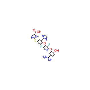 CN1CC=NC1c1cc(Sc2ncc(C(=O)O)n2C)ccc1Oc1c(F)cnc(Oc2cc(C(=N)N)ccc2O)c1F